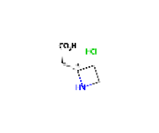 Cl.O=C(O)C[C@@H]1CCN1